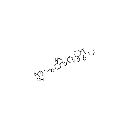 Cc1c(C(=O)Nc2ccc(Oc3ccnc4cc(OCCCN5CC(O)C6(CC6)C5)ccc34)cn2)c(=O)n(-c2ccccc2)n1C